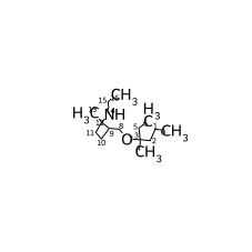 CCCC(C)(CC)OCC1CCC1(C)NCC